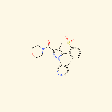 Cc1ccncc1-n1nc(C(=O)N2CCOCC2)c2c1-c1ccccc1S(=O)(=O)C2